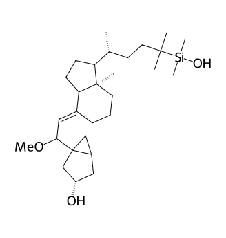 COC(/C=C1\CCC[C@@]2(C)C1CCC2[C@H](C)CCC(C)(C)[Si](C)(C)O)C12CC1C[C@H](O)C2